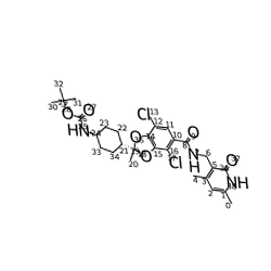 Cc1cc(C)c(CNC(=O)c2cc(Cl)c3c(c2Cl)OC(C)([C@H]2CC[C@H](NC(=O)OC(C)(C)C)CC2)O3)c(=O)[nH]1